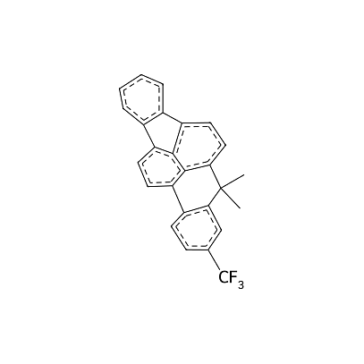 CC1(C)c2cc(C(F)(F)F)ccc2-c2ccc3c4c(ccc1c24)-c1ccccc1-3